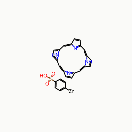 C1=Cc2cc3ccc(cc4nc(cc5ccc(cc1n2)[nH]5)C=C4)[nH]3.O=S(=O)(O)c1cc[c]([Zn])cc1